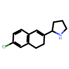 Clc1ccc2c(c1)CCC(C1CCCN1)=C2